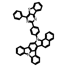 c1ccc(-c2nc(-c3ccc(-n4c5cc6c7ccccc7n7c8ccccc8c(c5c5ccc8ccccc8c54)c67)cc3)nc3c2sc2ccccc23)cc1